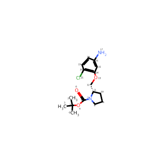 CC(C)(C)OC(=O)N1CCC[C@H]1COc1cc(N)ccc1Cl